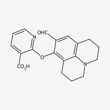 O=Cc1cc2c3c(c1Oc1ncccc1C(=O)O)CCCN3CCC2